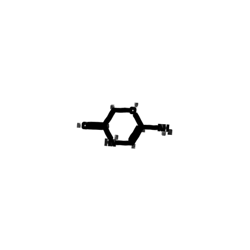 NC1=CNC(=O)CO1